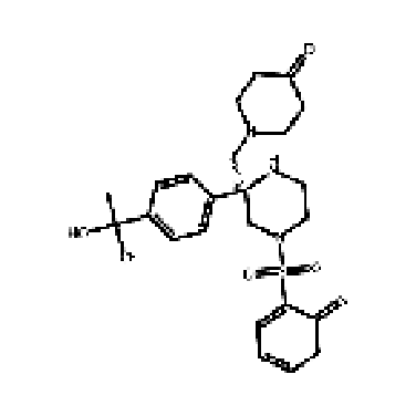 CC(O)(c1ccc([C@]2(CN3CCC(=O)CC3)CN(S(=O)(=O)C3=CC=CCC3=S)CCN2)cc1)C(F)(F)F